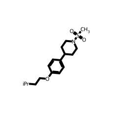 CC(C)CCOc1ccc(C2CCN(S(C)(=O)=O)CC2)cc1